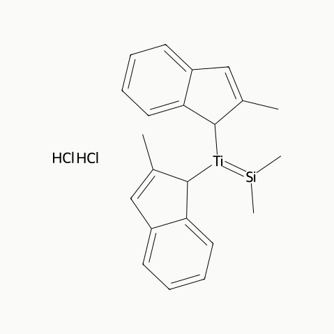 CC1=Cc2ccccc2[CH]1[Ti]([CH]1C(C)=Cc2ccccc21)=[Si](C)C.Cl.Cl